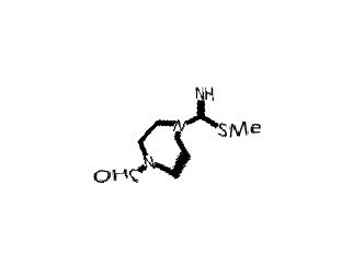 CSC(=N)N1CCN(C=O)CC1